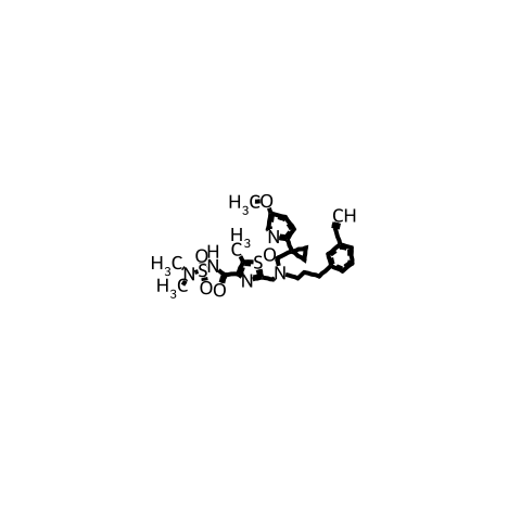 C#Cc1cccc(CCCN(Cc2nc(C(=O)NS(=O)(=O)N(C)C)c(C)s2)C(=O)C2(c3ccc(OC)cn3)CC2)c1